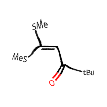 CSC(=CC(=O)C(C)(C)C)SC